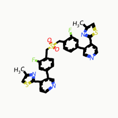 Cc1csc(-c2ccncc2-c2ccc(CS(=O)(=O)Cc3ccc(-c4cnccc4-c4nc(C)cs4)cc3F)c(F)c2)n1